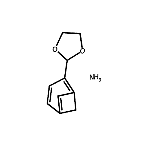 N.c1cc(C2OCCO2)c2cc1C2